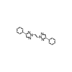 C(=Cn1ncc(-c2ccccc2)n1)n1ncc(-c2ccccc2)n1